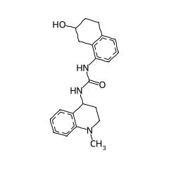 CN1CCC(NC(=O)Nc2cccc3c2CC(O)CC3)c2ccccc21